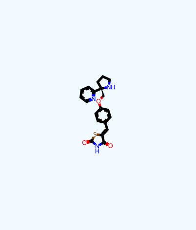 O=C1NC(=O)C(=Cc2ccc(OC[C@@]3(c4ccccn4)CCCN3)cc2)S1